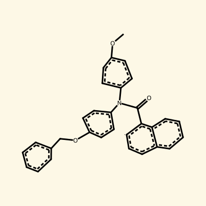 COc1ccc(N(C(=O)c2[c]ccc3ccccc23)c2ccc(OCc3ccccc3)cc2)cc1